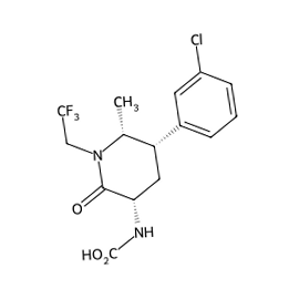 C[C@@H]1[C@H](c2cccc(Cl)c2)C[C@H](NC(=O)O)C(=O)N1CC(F)(F)F